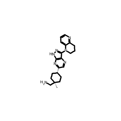 C[C@]1(CN)CC[C@H](c2cnc3c(N4CCCc5ncccc54)n[nH]c3n2)CC1